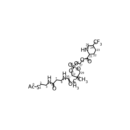 CC(=O)SCCNC(=O)CCNC(=O)[C@@H]1OP(=O)(OCOC(=O)C2CCC(C(F)(F)F)CN2)OCC1(C)C